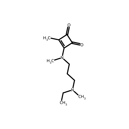 CCN(C)CCCN(C)c1c(C)c(=O)c1=O